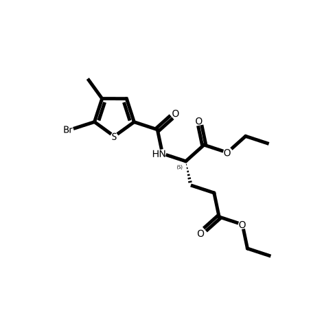 CCOC(=O)CC[C@H](NC(=O)c1cc(C)c(Br)s1)C(=O)OCC